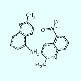 Cc1ccc2c(N)cccc2n1.Cc1ccc2c([N+](=O)[O-])cccc2n1